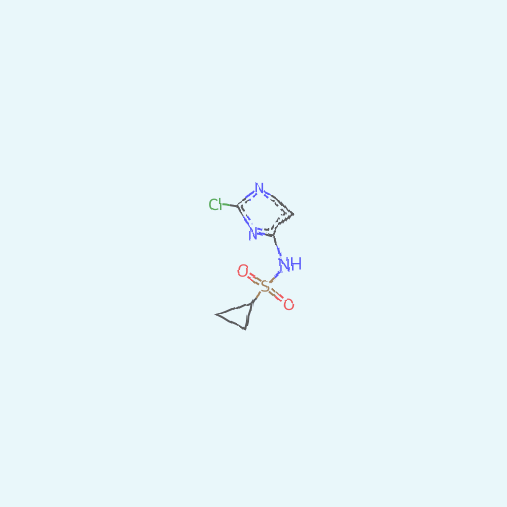 O=S(=O)(Nc1ccnc(Cl)n1)C1CC1